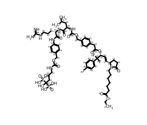 CCOC(=O)CCCCCCN1C(=O)CC[C@@H]1/C=C/[C@@H](OC(=O)Cc1ccc(COC(=O)NC(CC(C)C)C(=O)N[C@@H](CCCNC(=N)N)C(=O)Nc2ccc(COC(=O)NCCCC(O)(P(=O)(O)O)P(=O)(O)O)cc2)cc1)C(F)(F)c1ccc(I)cc1